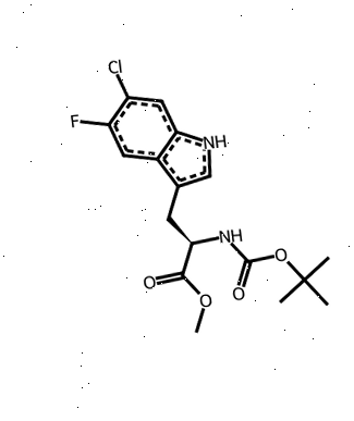 COC(=O)[C@@H](Cc1c[nH]c2cc(Cl)c(F)cc12)NC(=O)OC(C)(C)C